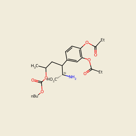 CCCCOC(=O)OC(C)CC(c1ccc(OC(=O)CC)c(OC(=O)CC)c1)[C@H](N)C(=O)O